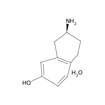 N[C@H]1CCc2ccc(O)cc2C1.O